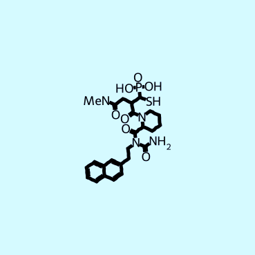 CNC(=O)CC(C(=O)N1CCCCC1C(=O)N(CCc1ccc2ccccc2c1)C(N)=O)C(S)P(=O)(O)O